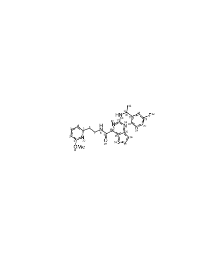 COc1cccc(CCNC(=O)c2nc(N[C@@H](C)c3cncc(F)c3)nc3ccsc23)n1